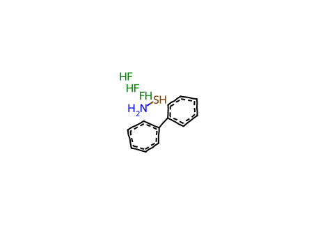 F.F.F.NS.c1ccc(-c2ccccc2)cc1